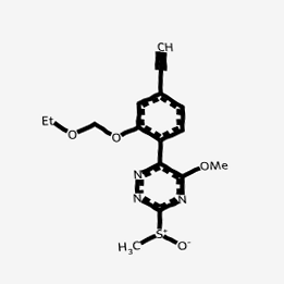 C#Cc1ccc(-c2nnc([S+](C)[O-])nc2OC)c(OCOCC)c1